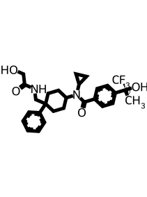 C[C@](O)(c1ccc(C(=O)N(C2CC2)C2CCC(CNC(=O)CO)(c3ccccc3)CC2)cc1)C(F)(F)F